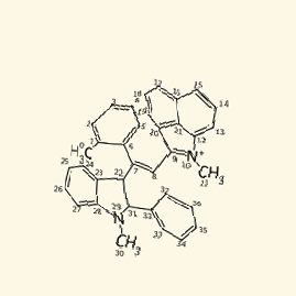 Cc1ccccc1C(=CC1=[N+](C)c2cccc3cccc1c23)C1c2ccccc2N(C)C1c1ccccc1